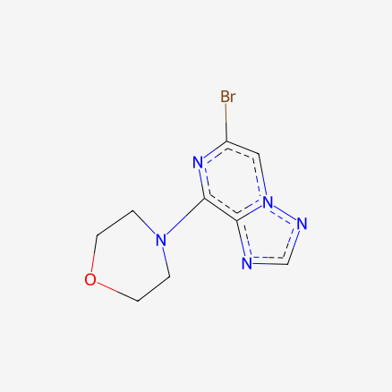 Brc1cn2ncnc2c(N2CCOCC2)n1